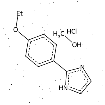 CCOc1ccc(-c2ncc[nH]2)cc1.CO.Cl